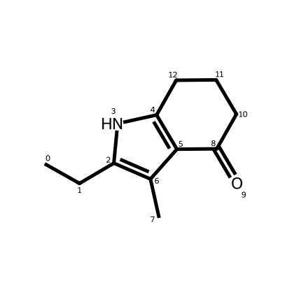 CCc1[nH]c2c(c1C)C(=O)CCC2